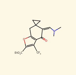 CCOC(=O)c1oc2c(c1C(F)(F)F)C(=O)C(=CN(C)C)C1(CC1)C2